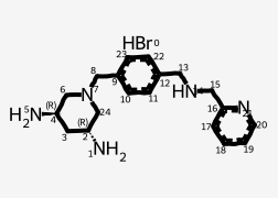 Br.N[C@@H]1C[C@@H](N)CN(Cc2ccc(CNCc3ccccn3)cc2)C1